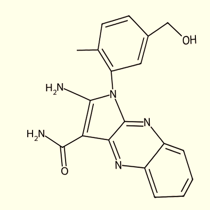 Cc1ccc(CO)cc1-n1c(N)c(C(N)=O)c2nc3ccccc3nc21